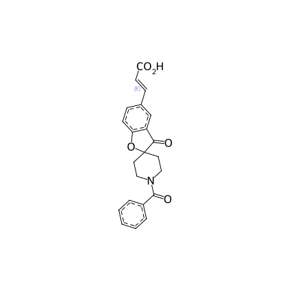 O=C(O)/C=C/c1ccc2c(c1)C(=O)C1(CCN(C(=O)c3ccccc3)CC1)O2